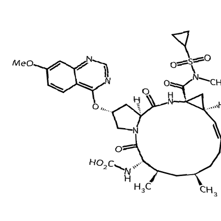 COc1ccc2c(O[C@@H]3C[C@H]4C(=O)N[C@]5(C(=O)N(C)S(=O)(=O)C6CC6)C[C@H]5C=CCC[C@@H](C)C[C@@H](C)[C@H](NC(=O)O)C(=O)N4C3)ncnc2c1